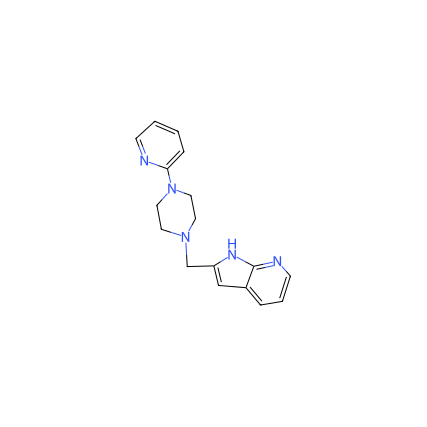 c1ccc(N2CCN(Cc3cc4cccnc4[nH]3)CC2)nc1